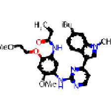 C=CC(=O)Nc1cc(Nc2nccc(-c3cn(C)c4cc(C(C)CC)ccc34)n2)c(OC)cc1OCCOC